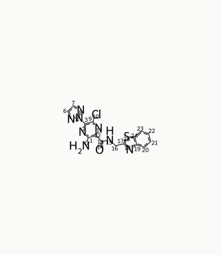 Nc1nc(-n2nccn2)c(Cl)nc1C(=O)NCc1nc2ccccc2s1